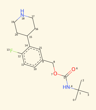 CC(C)(C)NC(=O)OCc1ccc(F)c(C2CCNCC2)c1